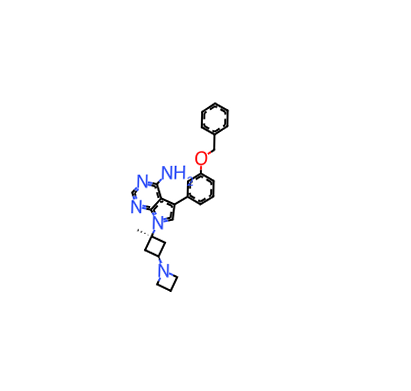 C[C@]1(n2cc(-c3cccc(OCc4ccccc4)c3)c3c(N)ncnc32)C[C@@H](N2CCC2)C1